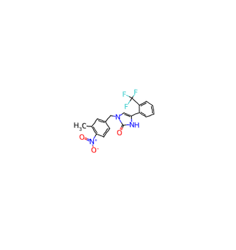 Cc1cc(Cn2cc(-c3ccccc3C(F)(F)F)[nH]c2=O)ccc1[N+](=O)[O-]